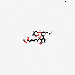 CCCCCC(C=CC1CCC(=O)C1C(O)CCCCCC(=O)OC)OC1CCCCO1